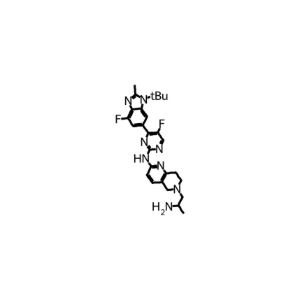 Cc1nc2c(F)cc(-c3nc(Nc4ccc5c(n4)CCN(CC(C)N)C5)ncc3F)cc2n1C(C)(C)C